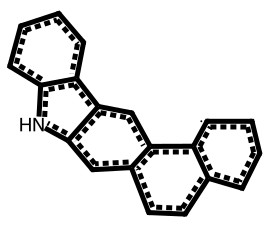 [c]1cccc2ccc3cc4[nH]c5ccccc5c4cc3c12